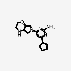 Nc1nc(C2CCCC2)cc(N2C=C3OCCNC3C2)n1